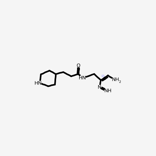 N=N/C(=C\N)CNC(=O)CCC1CCNCC1